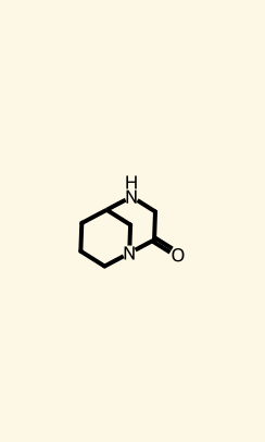 O=C1CNC2CCCN1C2